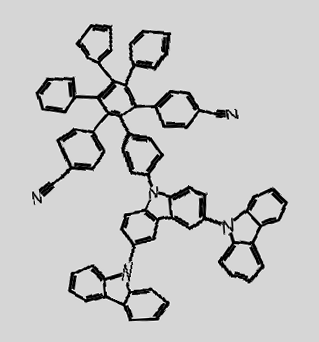 N#Cc1ccc(-c2c(-c3ccccc3)c(-c3ccccc3)c(-c3ccccc3)c(-c3ccc(C#N)cc3)c2-c2ccc(-n3c4ccc(-n5c6ccccc6c6ccccc65)cc4c4cc(-n5c6ccccc6c6ccccc65)ccc43)cc2)cc1